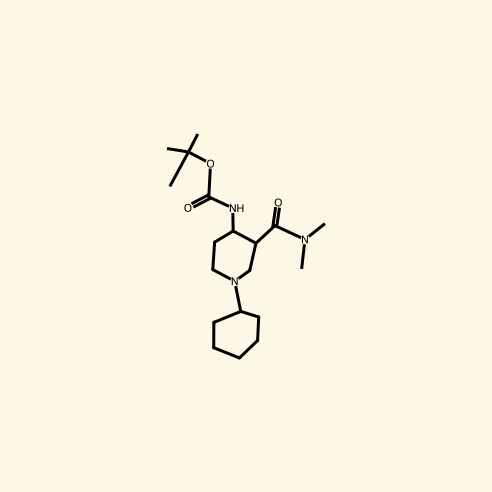 CN(C)C(=O)C1CN(C2CCCCC2)CCC1NC(=O)OC(C)(C)C